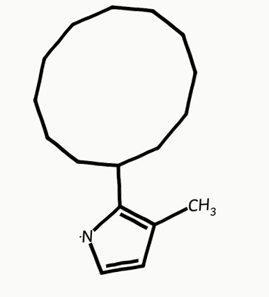 CC1=C(C2CCCCCCCCCCC2)[N]C=C1